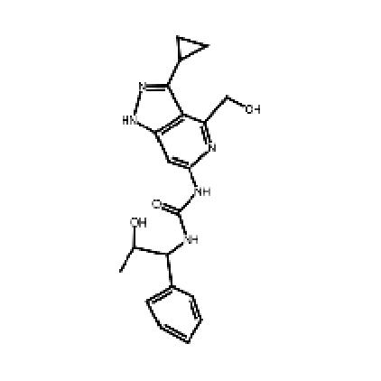 CC(O)C(NC(=O)Nc1cc2[nH]nc(C3CC3)c2c(CO)n1)c1ccccc1